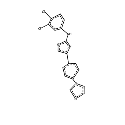 Clc1ccc(Nc2nc(-c3ccc(-n4ccnc4)cc3)cs2)cc1Cl